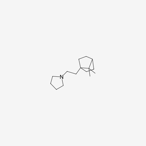 CC1(C)C2CCC1(CCN1CCCC1)CC2